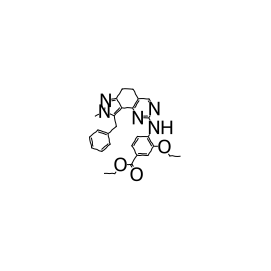 CCOC(=O)c1ccc(Nc2ncc3c(n2)-c2c(nn(C)c2Cc2ccccc2)CC3)c(OCC)c1